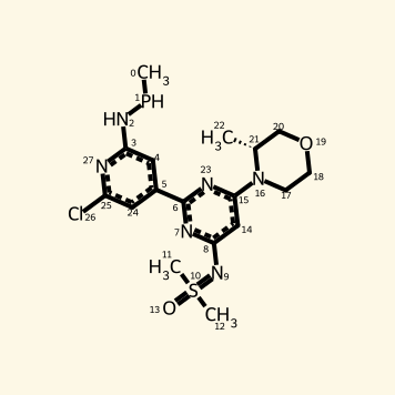 CPNc1cc(-c2nc(N=S(C)(C)=O)cc(N3CCOC[C@H]3C)n2)cc(Cl)n1